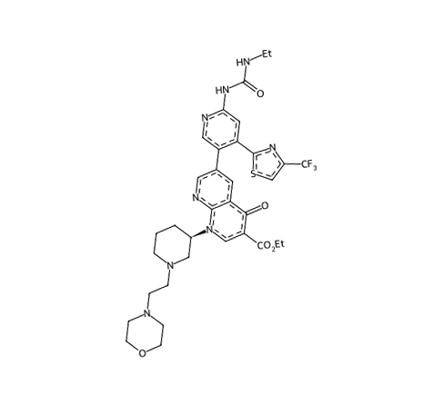 CCNC(=O)Nc1cc(-c2nc(C(F)(F)F)cs2)c(-c2cnc3c(c2)c(=O)c(C(=O)OCC)cn3[C@@H]2CCCN(CCN3CCOCC3)C2)cn1